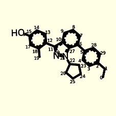 CCc1ccc(-c2cccc3c(-c4ccc(O)cc4C)nn(C4CCCC4)c23)cc1